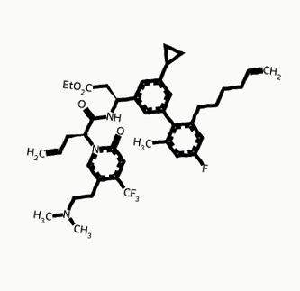 C=CCCCCc1cc(F)cc(C)c1-c1cc(C2CC2)cc([C@H](CC(=O)OCC)NC(=O)[C@H](CC=C)n2cc(CCN(C)C)c(C(F)(F)F)cc2=O)c1